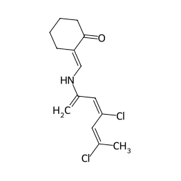 C=C(/C=C(Cl)\C=C(/C)Cl)N/C=C1\CCCCC1=O